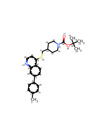 Cc1ccc(-c2ccc3c(SCC4CCN(C(=O)OC(C)(C)C)CC4)ccnc3c2)cc1